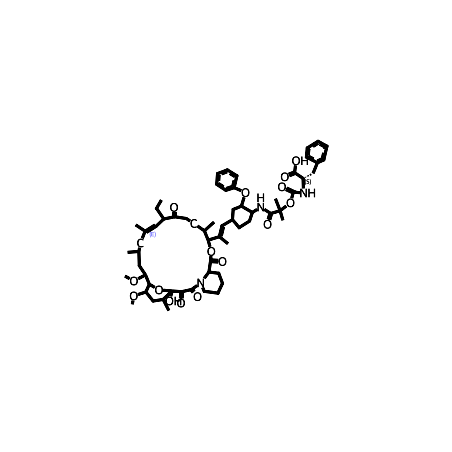 CCC1/C=C(\C)CC(C)CC(OC)C2OC(O)(C(=O)C(=O)N3CCCCC3C(=O)OC(C(C)=CC3CCC(NC(=O)C(C)(C)OC(=O)N[C@@H](Cc4ccccc4)C(=O)O)C(Oc4ccccc4)C3)C(C)CCC1=O)C(C)CC2OC